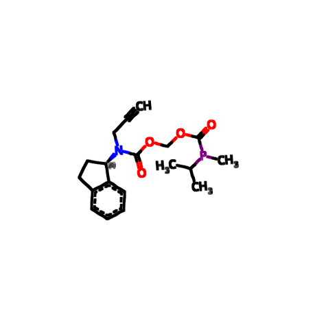 C#CCN(C(=O)OCOC(=O)P(C)C(C)C)[C@@H]1CCc2ccccc21